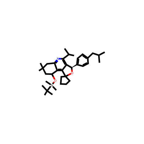 CC(C)Cc1ccc([C@H]2OC3(CCCC3)c3c4c(nc(C(C)C)c32)CC(C)(C)CC4O[Si](C)(C)C(C)(C)C)cc1